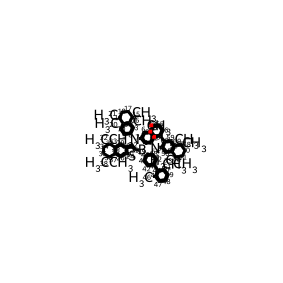 Cc1cc2c3c(c1)N(c1ccc4c(c1)C(C)(C)CCC4(C)C)c1c(sc4cc5c(cc14)C(C)(C)CCC5(C)C)B3c1ccc(-c3c(C)cccc3C)cc1N2c1cc2c(cc1-c1ccccc1)C(C)(C)CCC2(C)C